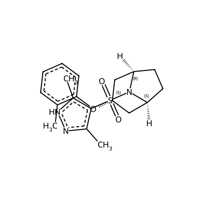 Cc1ccccc1O[C@@H]1C[C@H]2CC[C@@H](C1)N2S(=O)(=O)c1c(C)n[nH]c1C